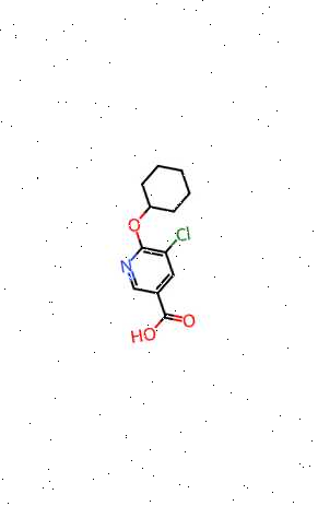 O=C(O)c1cnc(OC2CCCCC2)c(Cl)c1